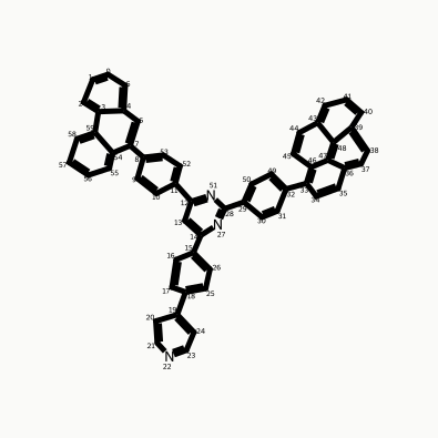 c1ccc2c(c1)cc(-c1ccc(-c3cc(-c4ccc(-c5ccncc5)cc4)nc(-c4ccc(-c5ccc6ccc7cccc8ccc5c6c78)cc4)n3)cc1)c1ccccc12